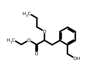 CCCOC(Cc1ccccc1CO)C(=O)OCC